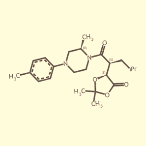 Cc1ccc(N2CCN(C(=O)[C@@H](CC(C)C)[C@@H]3OC(C)(C)OC3=O)[C@H](C)C2)cc1